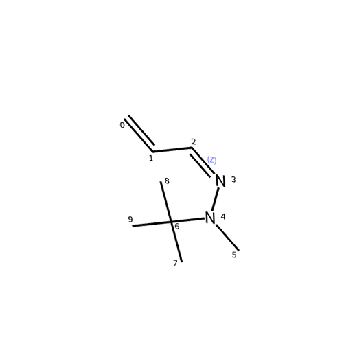 C=C/C=N\N(C)C(C)(C)C